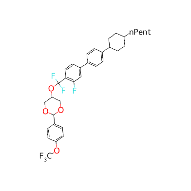 CCCCCC1CCC(c2ccc(-c3ccc(C(F)(F)OC4COC(c5ccc(OC(F)(F)F)cc5)OC4)c(F)c3)cc2)CC1